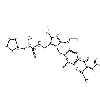 CCOc1nc(CC)c(CNC(=O)[C@@H](S)CC2CCCC2)n1Cc1ccc(-c2ccccc2C(=O)O)cc1F